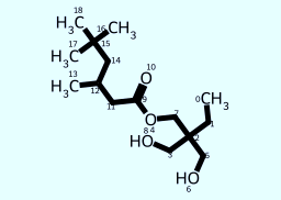 CCC(CO)(CO)COC(=O)CC(C)CC(C)(C)C